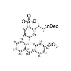 CCCCCCCCCCCCc1ccccc1S(=O)(=O)[O-].O=[N+]([O-])c1ccc([I+]c2ccccc2)cc1